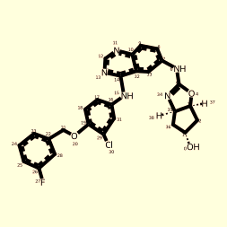 O[C@H]1C[C@@H]2OC(Nc3ccc4ncnc(Nc5ccc(OCc6cccc(F)c6)c(Cl)c5)c4c3)=N[C@@H]2C1